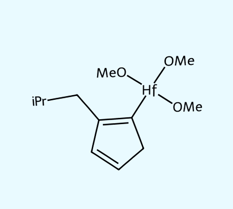 C[O][Hf]([O]C)([O]C)[C]1=C(CC(C)C)C=CC1